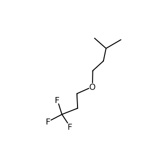 CC(C)CCOCCC(F)(F)F